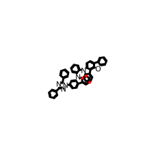 c1ccc(-c2nc(-c3ccccc3)n(-c3ccc4c5ccccc5n(-c5ccccc5-n5c6ccccc6c6c7oc8ccccc8c7ccc65)c4c3)n2)cc1